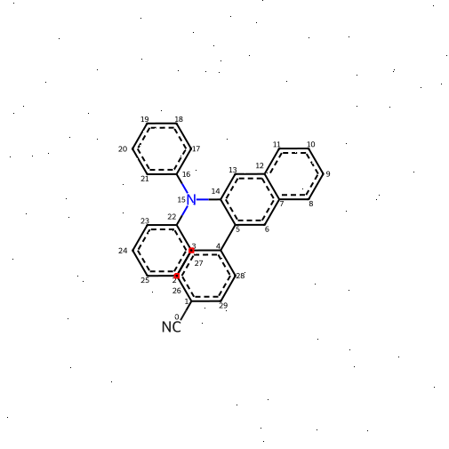 N#Cc1ccc(-c2cc3ccccc3cc2N(c2ccccc2)c2ccccc2)cc1